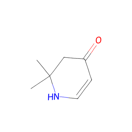 CC1(C)CC(=O)C=CN1